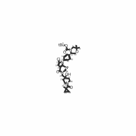 CC(C)(C)OC(=O)N1CC(C)(C)OC[C@H]1c1ccc(-n2c(Cl)cc3c(=O)n(CC4(O)CCN(C(=O)C5(C)CC5)CC4)cnc32)cc1